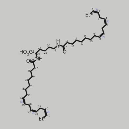 CC/C=C\C/C=C\C/C=C\CCCCCCCC(=O)NCCCC[C@H](NC(=O)CCCCCCC/C=C\C/C=C\C/C=C\CC)C(=O)O